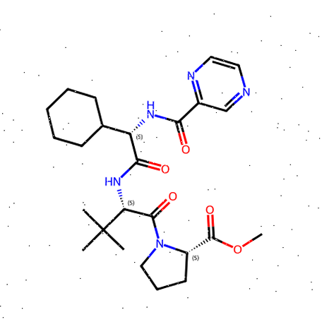 COC(=O)[C@@H]1CCCN1C(=O)[C@@H](NC(=O)[C@@H](NC(=O)c1cnccn1)C1CCCCC1)C(C)(C)C